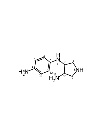 Nc1ccc(NC2CNCC2N)cc1